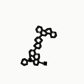 N#Cc1ccc2c3c1ccc1c(-c4ccc5cc(-c6cc7c8ccccc8ccc7c7ccccc67)ccc5c4)ccc(c13)n2-c1ccccc1